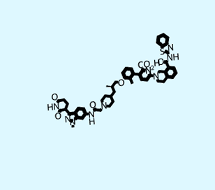 Cc1c(OC[C@H](C)CC2CCN(CC(=O)Nc3ccc4c(C5CCC(=O)NC5=O)nn(C)c4c3)CC2)cccc1-c1ccc(N2CCc3cccc(C(=O)Nc4nc5ccccc5s4)c3C2)nc1C(=O)O